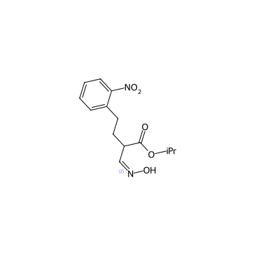 CC(C)OC(=O)C(/C=N\O)CCc1ccccc1[N+](=O)[O-]